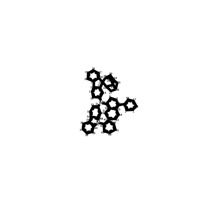 c1ccc(-c2ccc(N(c3ccc4c(c3)C3(c5ccccc5-4)C4CC5CC(C4)CC3C5)c3ccc4c5ccccc5n(-c5ccccc5)c4c3)c3ccccc23)cc1